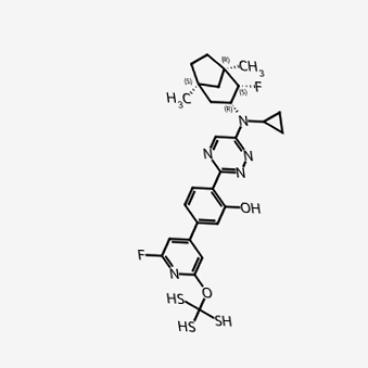 C[C@]12CC[C@](C)(C1)[C@H](F)[C@H](N(c1cnc(-c3ccc(-c4cc(F)nc(OC(S)(S)S)c4)cc3O)nn1)C1CC1)C2